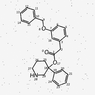 O=C(Cc1cccc(OCc2ccccc2)c1)OC1(c2ccccc2)CCCNC1